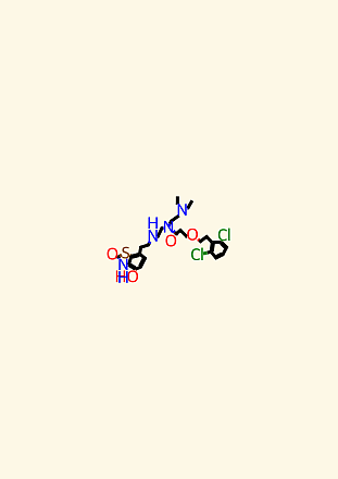 CCN(CC)CCN(CCNCCc1ccc(O)c2[nH]c(=O)sc12)C(=O)CCOCCc1c(Cl)cccc1Cl